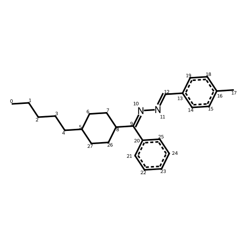 CCCCCC1CCC(C(=NN=Cc2ccc(C)cc2)c2ccccc2)CC1